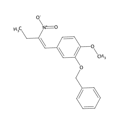 CCC(=Cc1ccc(OC)c(OCc2ccccc2)c1)[N+](=O)[O-]